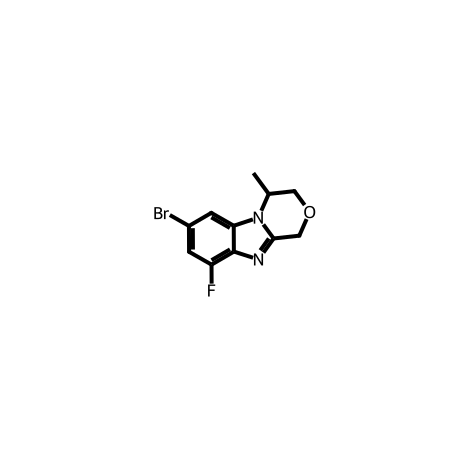 CC1COCc2nc3c(F)cc(Br)cc3n21